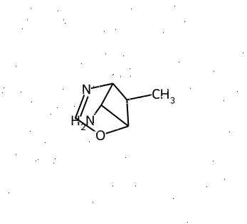 CC1C2N=COC1C2N